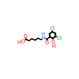 O=C(O)CCCCCNC(=O)c1cc(Cl)cc(Cl)c1O